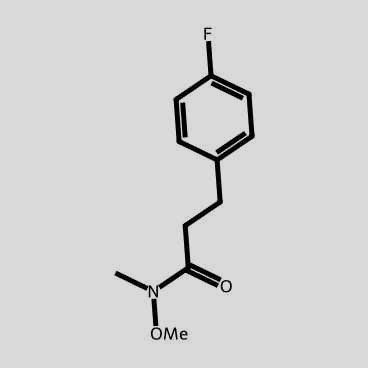 CON(C)C(=O)CCc1ccc(F)cc1